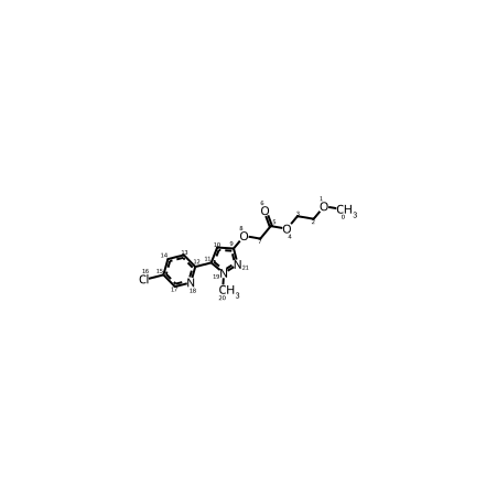 COCCOC(=O)COc1cc(-c2ccc(Cl)cn2)n(C)n1